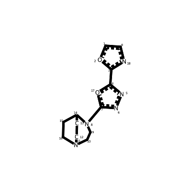 c1coc(-c2nnc(N3CCN4CCC3CC4)o2)n1